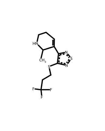 CC1NCCC=C1c1nsnc1SCCC(F)(F)F